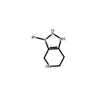 CC(C)N1NNC2=C1CNCC2